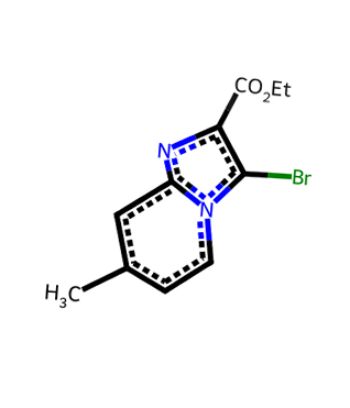 CCOC(=O)c1nc2cc(C)ccn2c1Br